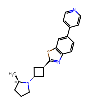 C[C@@H]1CCCN1[C@H]1C[C@H](c2nc3ccc(-c4ccncc4)cc3s2)C1